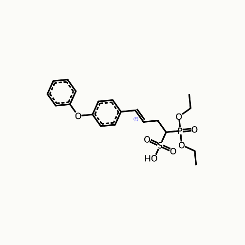 CCOP(=O)(OCC)C(C/C=C/c1ccc(Oc2ccccc2)cc1)S(=O)(=O)O